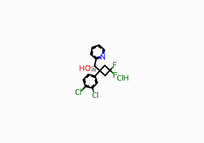 Cl.O[C@H](c1ccccn1)C1(c2ccc(Cl)c(Cl)c2)CC(F)(F)C1